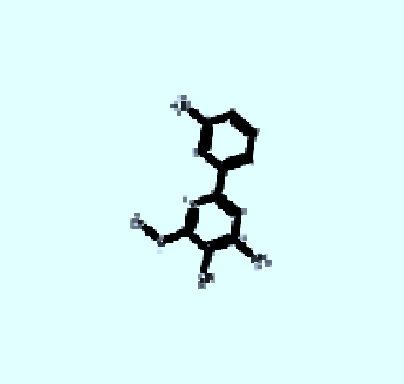 CCOc1nc(-c2cccc(N)c2)cc(N)c1C#N